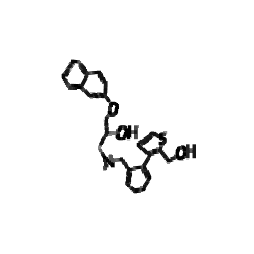 CN(Cc1ccccc1-c1ccsc1CO)CC(O)COc1ccc2ccccc2c1